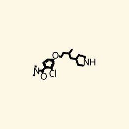 CC(CCOc1ccc(C(=O)N(C)C)c(Cl)c1)CC1CCNCC1